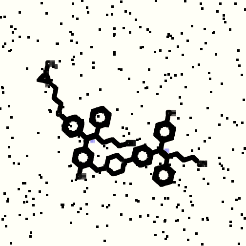 CN1C[C@@H]1CCCOc1ccc(/C(=C(/CCCO)c2ccccc2)c2ccc(O)c(CN3CCN(c4ccc(/C(=C(/CCCO)c5ccccc5)c5ccc(O)cc5)cc4)CC3)c2)cc1